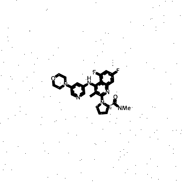 CNC(=O)[C@@H]1CCCN1c1nc2cc(F)cc(F)c2c(Nc2cncc(N3CCOCC3)c2)c1C